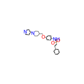 O=S(=O)(C=Cc1ccccc1)Nc1ccc(OCC2CCN(c3ccncc3)CC2)cc1